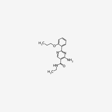 CCCOc1ccccc1-c1ncc(C(=O)NCC)c(N)n1